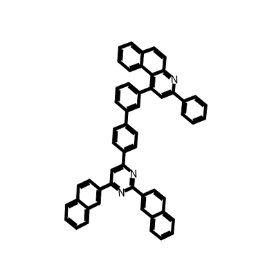 c1ccc(-c2cc(-c3cccc(-c4ccc(-c5cc(-c6ccc7ccccc7c6)nc(-c6ccc7ccccc7c6)n5)cc4)c3)c3c(ccc4ccccc43)n2)cc1